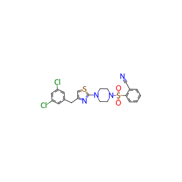 N#Cc1ccccc1S(=O)(=O)N1CCN(c2nc(Cc3cc(Cl)cc(Cl)c3)cs2)CC1